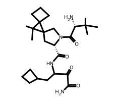 CC(C)(C)[C@@H](N)C(=O)N1CC2(C[C@H]1C(=O)NC(CC1CCC1)C(=O)C(N)=O)C(C)(C)C21CCC1